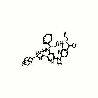 C=CCN1Cc2nc(Nc3cc(NC(CO)c4ccccc4)c(-c4nc(C56CCN(CC5)CC6)no4)cn3)ccc2C1=O